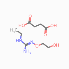 CCNC(N)=NOCCO.O=C(O)CCC(=O)O